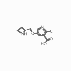 O=C(O)c1cc(OC[C@@H]2CCN2)cnc1Cl